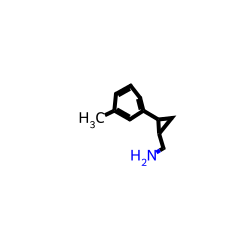 Cc1cccc(C2CC2CN)c1